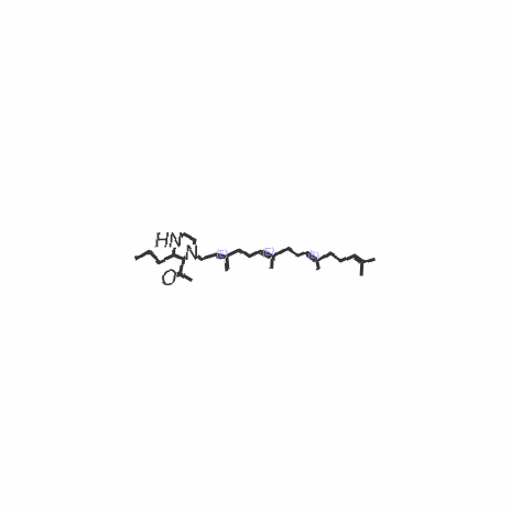 CCCC1NCCN(C/C=C(\C)CC/C=C(\C)CC/C=C(\C)CCC=C(C)C)C1C(C)=O